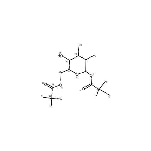 CC1C(OC(=O)C(C)(C)C)OC(COC(=O)C(C)(C)C)C(O)C1C